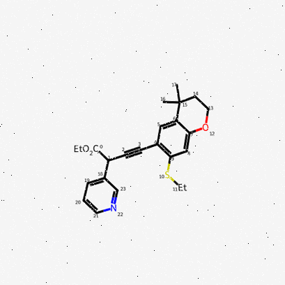 CCOC(=O)C(C#Cc1cc2c(cc1SCC)OCCC2(C)C)c1cccnc1